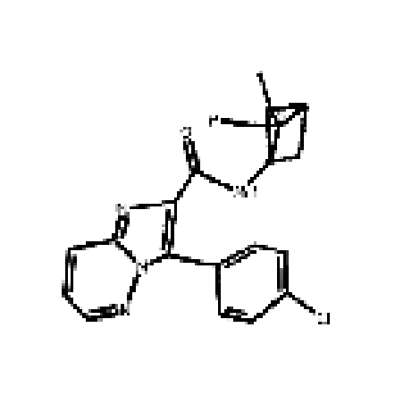 C[C@@H]1C2CC1(NC(=O)c1nc3cccnn3c1-c1ccc(Cl)cc1)C2